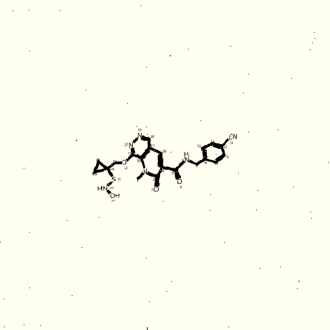 Cn1c(=O)c(C(=O)NCc2ccc(C#N)cc2)cc2cnnc(OCC3(SNO)CC3)c21